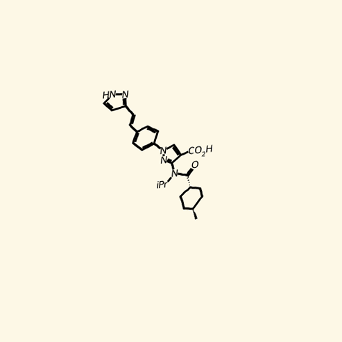 CC(C)N(c1nn(-c2ccc(C=Cc3cc[nH]n3)cc2)cc1C(=O)O)C(=O)[C@H]1CC[C@H](C)CC1